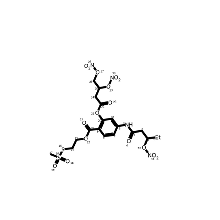 CCC(CC(=O)Nc1ccc(C(=O)OCCSS(C)(=O)=O)c(OC(=O)CC(CO[N+](=O)[O-])O[N+](=O)[O-])c1)O[N+](=O)[O-]